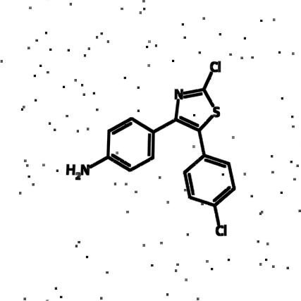 Nc1ccc(-c2nc(Cl)sc2-c2ccc(Cl)cc2)cc1